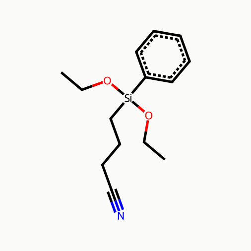 CCO[Si](CCCC#N)(OCC)c1ccccc1